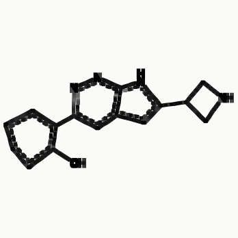 Oc1ccccc1-c1cc2cc(C3CNC3)[nH]c2nn1